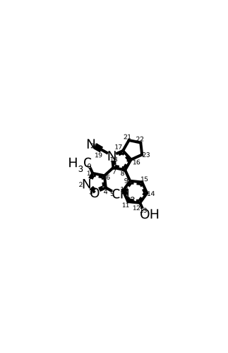 Cc1noc(C)c1-c1c(-c2ccc(O)cc2)c2c(n1C#N)CCC2